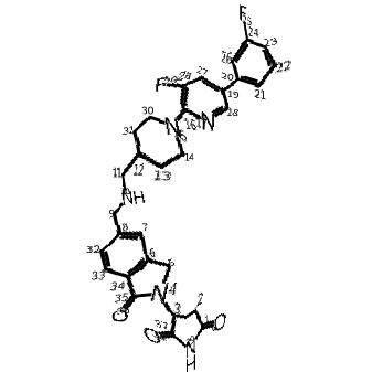 O=C1CC(N2Cc3cc(CNCC4CCN(c5ncc(-c6cccc(F)c6)cc5F)CC4)ccc3C2=O)C(=O)N1